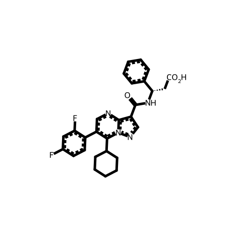 O=C(O)C[C@H](NC(=O)c1cnn2c(C3CCCCC3)c(-c3ccc(F)cc3F)cnc12)c1ccccc1